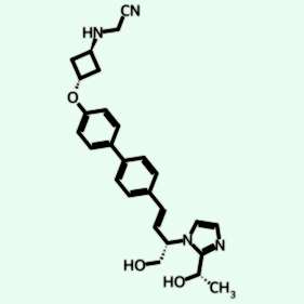 C[C@H](O)c1nccn1[C@@H](/C=C/c1ccc(-c2ccc(O[C@H]3C[C@H](NCC#N)C3)cc2)cc1)CO